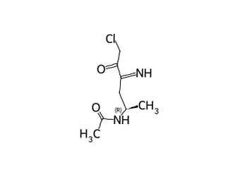 CC(=O)N[C@H](C)CC(=N)C(=O)CCl